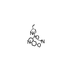 C=CC1CN2CCC1CC2[C@@H](OCC#N)c1ccnc2ccc(OC)cc12